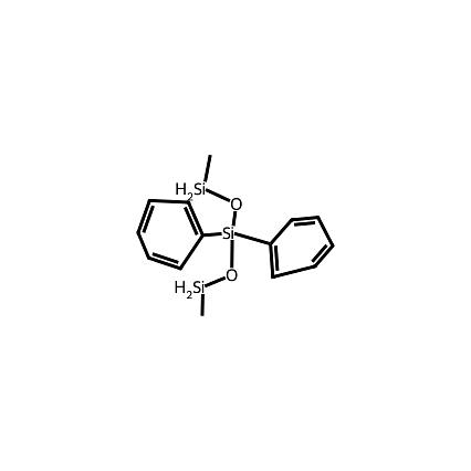 C[SiH2]O[Si](O[SiH2]C)(c1ccccc1)c1ccccc1